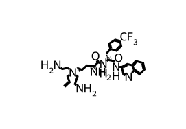 C=CC[N+](CCN)(CCN)CCC[C@H](N)C(=O)N[C@H](Cc1ccc(C(F)(F)F)cc1)C(=O)Nc1cnc2ccccc2c1